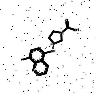 O=C(O)N1CC[C@@H](Nc2ccc(F)c3ncccc23)C1